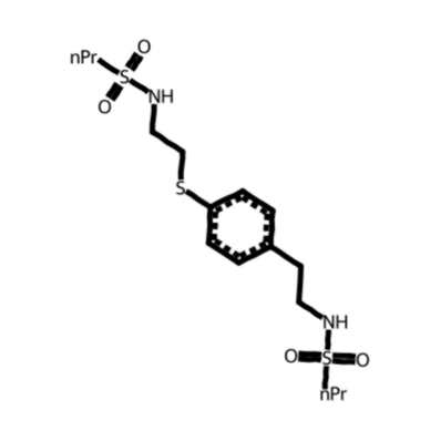 CCCS(=O)(=O)NCCSc1ccc(CCNS(=O)(=O)CCC)cc1